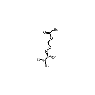 CCN(CC)/[N+]([O-])=N/OCOC(=O)C(C)(C)C